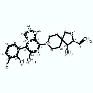 C=C[C@@H]1OCC2(CCN(c3nc(C)c(-c4cccc(Cl)c4Cl)n4cnnc34)CC2)[C@@H]1N